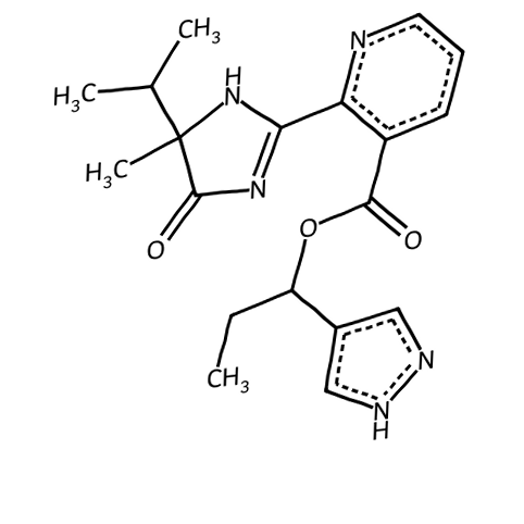 CCC(OC(=O)c1cccnc1C1=NC(=O)C(C)(C(C)C)N1)c1cn[nH]c1